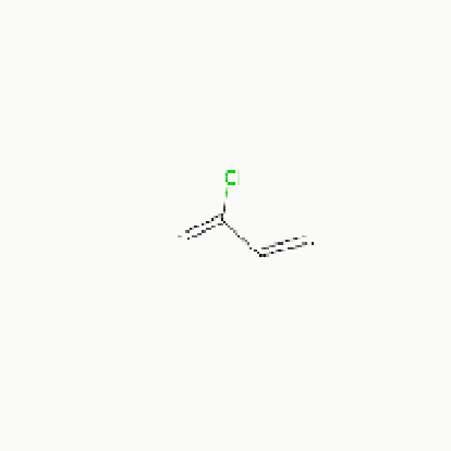 [CH]=CC(=[CH])Cl